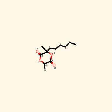 CCCCCCC1(C)OC(=O)C(C)OC1=O